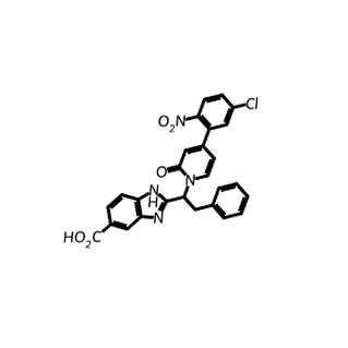 O=C(O)c1ccc2[nH]c(C(Cc3ccccc3)n3ccc(-c4cc(Cl)ccc4[N+](=O)[O-])cc3=O)nc2c1